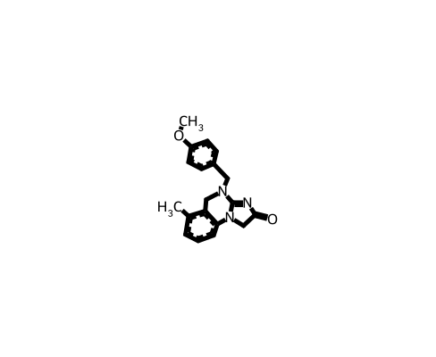 COc1ccc(CN2Cc3c(C)cccc3N3CC(=O)N=C23)cc1